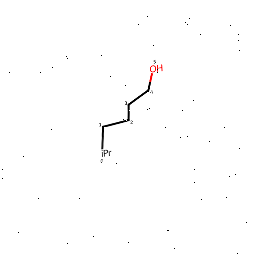 CC(C)[CH]CCCO